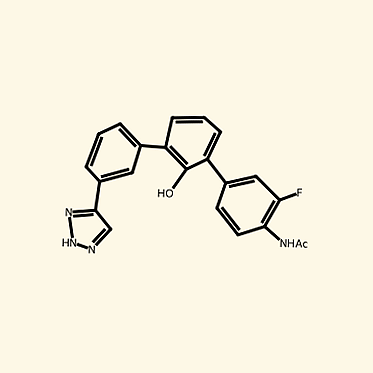 CC(=O)Nc1ccc(-c2cccc(-c3cccc(-c4cn[nH]n4)c3)c2O)cc1F